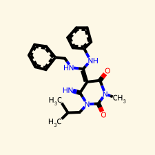 CC(C)CN1C(=N)/C(=C(\NCc2ccccc2)Nc2ccccc2)C(=O)N(C)C1=O